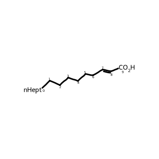 CCCCCCCCCCCCCC=CC(=O)O